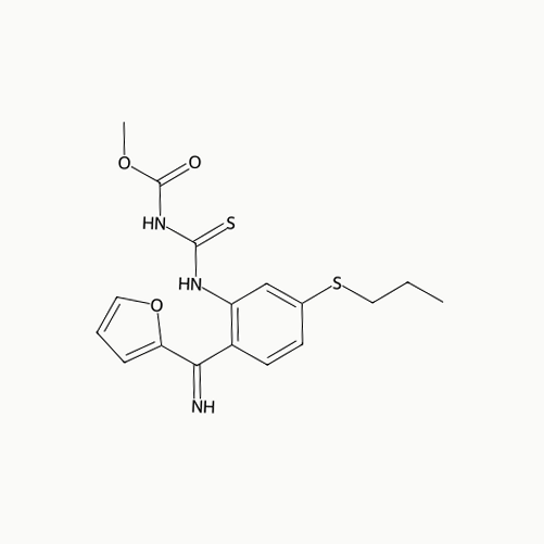 CCCSc1ccc(C(=N)c2ccco2)c(NC(=S)NC(=O)OC)c1